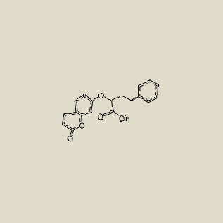 O=C(O)C(CCc1ccccc1)Oc1ccc2ccc(=O)oc2c1